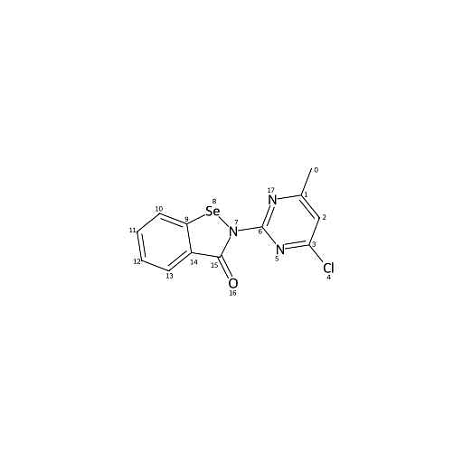 Cc1cc(Cl)nc(-n2[se]c3ccccc3c2=O)n1